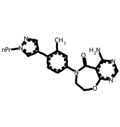 CCCn1cc(-c2ccc(N3CCOc4ncnc(N)c4C3=O)cc2C)cn1